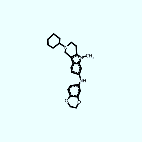 Cn1c2c(c3ccc(Nc4ccc5c(c4)OCCO5)cc31)CN(C1CCCCC1)CC2